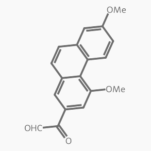 COc1ccc2c(ccc3cc(C(=O)C=O)cc(OC)c32)c1